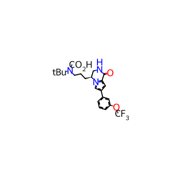 CC(C)(C)N(CCC[C@H]1CNC(=O)c2cc(-c3cccc(OC(F)(F)F)c3)cn21)C(=O)O